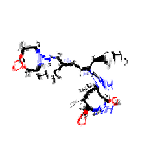 C=C/C(=C\C=C(/C)CN1CCOCC1)NC1CCC(=O)NC1=O